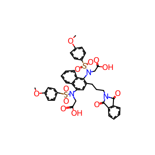 COc1ccc(S(=O)(=O)N(CC(=O)O)c2cc(CCCN3C(=O)c4ccccc4C3=O)c(N(CC(=O)O)S(=O)(=O)c3ccc(OC)cc3)c3ccccc23)cc1